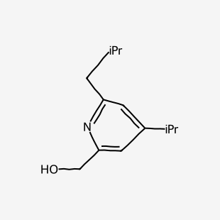 CC(C)Cc1cc(C(C)C)cc(CO)n1